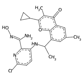 Cc1cc(C(C)Nc2ccc(Cl)nc2C(N)=NO)c2oc(C3CC3)c(C)c(=O)c2c1